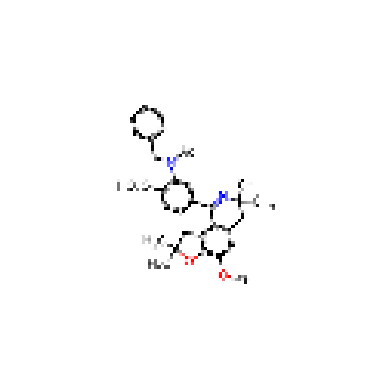 CCOc1cc2c(c3c1OC(C)(C)C3)C(c1ccc(C(=O)O)c(N(Cc3ccccc3)C(C)=O)c1)=NC(C)(C)C2